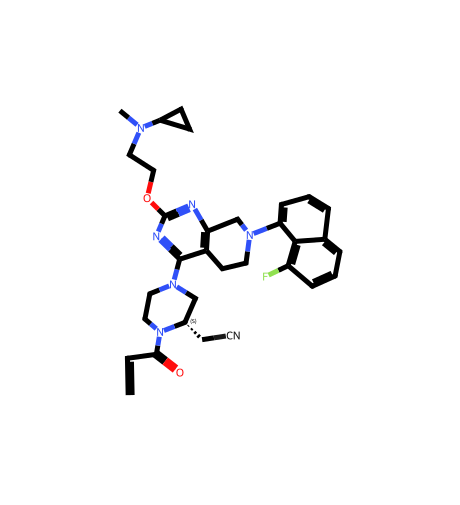 C=CC(=O)N1CCN(c2nc(OCCN(C)C3CC3)nc3c2CCN(c2cccc4cccc(F)c24)C3)C[C@@H]1CC#N